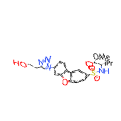 COC(=O)C(NS(=O)(=O)c1ccc2oc3cc(-n4cc(CCO)nn4)ccc3c2c1)C(C)C